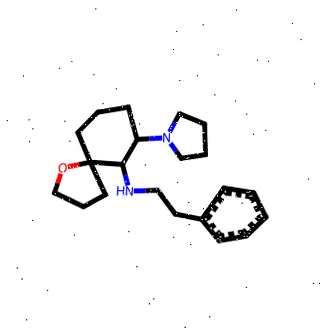 c1ccc(CCNC2C(N3CCCC3)CCCC23CCCO3)cc1